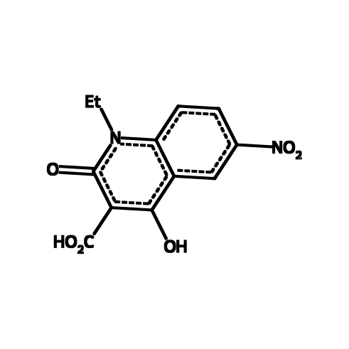 CCn1c(=O)c(C(=O)O)c(O)c2cc([N+](=O)[O-])ccc21